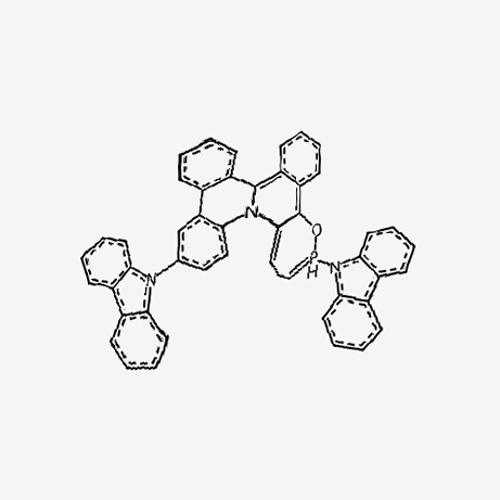 C1=C2C(=c3ccccc3=C3c4ccccc4-c4cc(-n5c6ccccc6c6ccccc65)ccc4N23)O[PH](n2c3ccccc3c3ccccc32)=C1